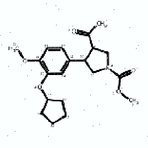 COC(=O)N1CC(C(C)=O)C(c2ccc(OC)c(OC3CCCC3)c2)C1